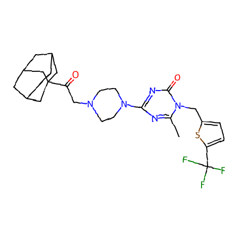 Cc1nc(N2CCN(CC(=O)C34CC5CC(CC(C5)C3)C4)CC2)nc(=O)n1Cc1ccc(C(F)(F)F)s1